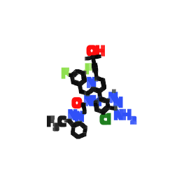 Cn1nc(N)c2c(Cl)ccc(-c3ccc(C#CC(C)(C)O)nc3[C@H](Cc3cc(F)cc(F)c3)NC(=O)Cn3nc(C(F)(F)F)c4c3CCCC4)c21